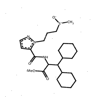 COC(=O)C(NC(=O)c1ccnn1CCC[S+](C)[O-])C(C1CCCCC1)C1CCCCC1